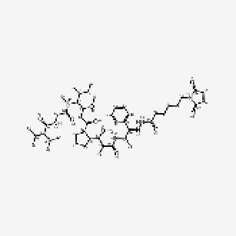 CCC(C)C(C(CC(=O)N1CCCC1C(OC)C(C)C(=O)NC(C)/C(=N/NC(=O)CCCCCN1C(=O)C=CC1=O)c1ccccc1)OC)N(C)C(=O)CNC(=O)C(C(C)C)N(C)C